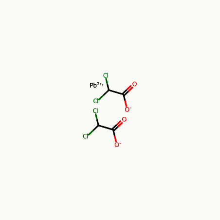 O=C([O-])C(Cl)Cl.O=C([O-])C(Cl)Cl.[Pb+2]